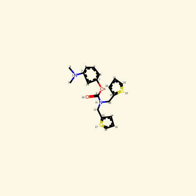 CN(C)c1cccc(OC(=O)N(Cc2cccs2)Cc2cccs2)c1